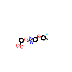 COC(=O)c1cccc(OCc2nc3ccc(Oc4ccc(C)c(F)c4)cc3n2C)c1